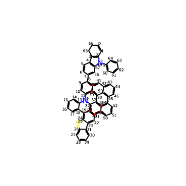 C1=Cc2c(c3ccc(-c4ccc(N(c5ccccc5-c5cccc6c5sc5ccccc56)c5ccccc5-c5cccc6cccc(-c7ccccc7)c56)cc4)cc3n2-c2ccccc2)CC1